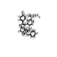 C[S+]([O-])c1nccc(-c2c(-c3ccc(F)cc3)nc3n2C(C)(S(=O)(=O)Cc2ccccc2)CC3)n1